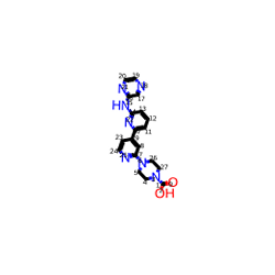 O=C(O)N1CCN(c2cc(-c3cccc(Nc4cnccn4)n3)ccn2)CC1